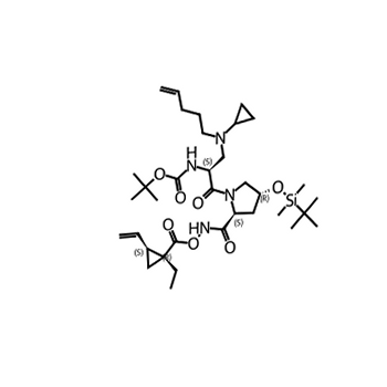 C=CCCCN(C[C@H](NC(=O)OC(C)(C)C)C(=O)N1C[C@H](O[Si](C)(C)C(C)(C)C)C[C@H]1C(=O)NOC(=O)[C@]1(CC)C[C@H]1C=C)C1CC1